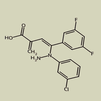 C=C(/C=C(/c1cc(F)cc(F)c1)N(N)c1cccc(Cl)c1)C(=O)O